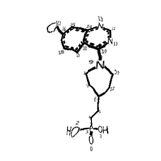 O=P(O)(O)CCC1CCN(c2ncnc3cc(Cl)ccc23)CC1